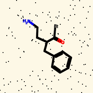 CCC(=O)C(CCN)Cc1ccccc1